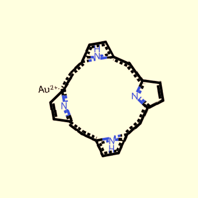 C1=Cc2cc3ccc(cc4nc(cc5ccc(cc1n2)[nH]5)C=C4)[nH]3.[Au+2]